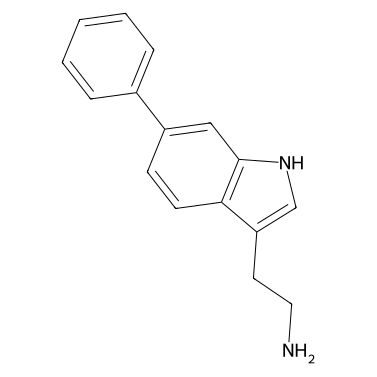 NCCc1c[nH]c2cc(-c3ccccc3)ccc12